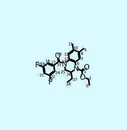 CCOC(=O)N1c2cc(C)c(C)cc2N(C(=O)c2cc(F)cc(F)c2)CC1CC